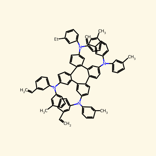 C=Cc1cccc(N(c2cccc(C)c2)c2ccc3c(c2)-c2cc(N(c4cccc(C)c4)c4cccc(C=C)c4)ccc2-c2ccc(N(c4cccc(C)c4)c4cccc(CC)c4)cc2-c2cc(N(c4cccc(C)c4)c4cccc(C=C)c4)ccc2-3)c1